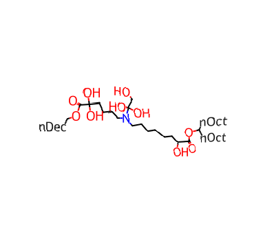 CCCCCCCCCCCOC(=O)C(O)(O)CCCCN(CCCCCCC(O)C(=O)OC(CCCCCCCC)CCCCCCCC)C(O)(O)CO